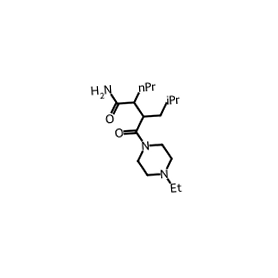 CCCC(C(N)=O)C(CC(C)C)C(=O)N1CCN(CC)CC1